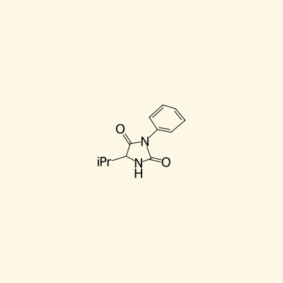 CC(C)C1NC(=O)N(c2ccccc2)C1=O